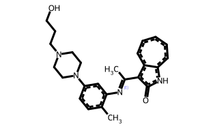 C/C(=N\c1cc(N2CCN(CCCO)CC2)ccc1C)c1c2cccccc-2[nH]c1=O